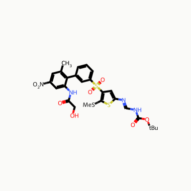 CSc1sc(/N=C/NC(=O)OC(C)(C)C)cc1S(=O)(=O)c1cccc(-c2c(C)cc([N+](=O)[O-])cc2NC(=O)CO)c1